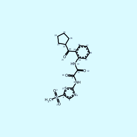 CS(=O)(=O)c1cnc(NC(=O)C(=O)Nc2ccccc2C(=O)C2CCCC2)s1